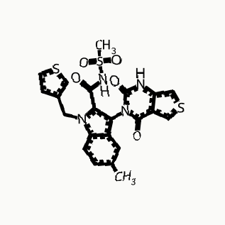 Cc1ccc2c(c1)c(-n1c(=O)[nH]c3cscc3c1=O)c(C(=O)NS(C)(=O)=O)n2Cc1ccsc1